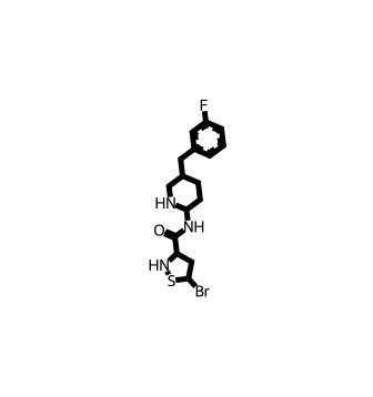 O=C(NC1CCC(Cc2cccc(F)c2)CN1)C1CC(Br)SN1